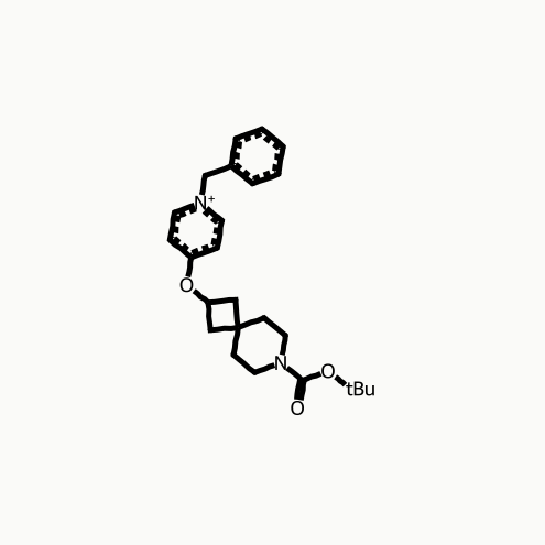 CC(C)(C)OC(=O)N1CCC2(CC1)CC(Oc1cc[n+](Cc3ccccc3)cc1)C2